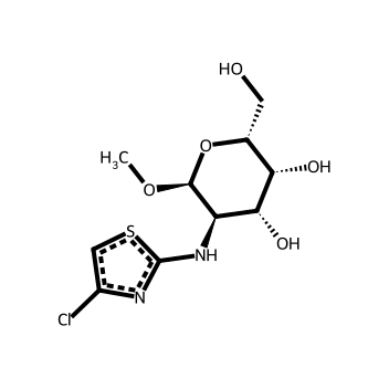 CO[C@H]1O[C@H](CO)[C@H](O)[C@H](O)[C@H]1Nc1nc(Cl)cs1